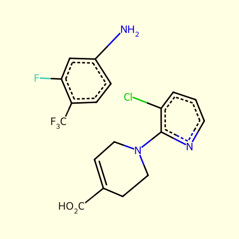 Nc1ccc(C(F)(F)F)c(F)c1.O=C(O)C1=CCN(c2ncccc2Cl)CC1